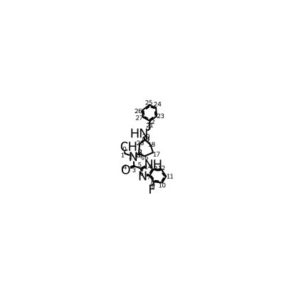 CCN(C(=O)c1nc2c(F)cccc2[nH]1)[C@H]1CCC[C@@H](NCc2ccccc2)C1